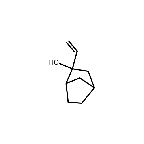 C=CC1(O)CC2CCC1C2